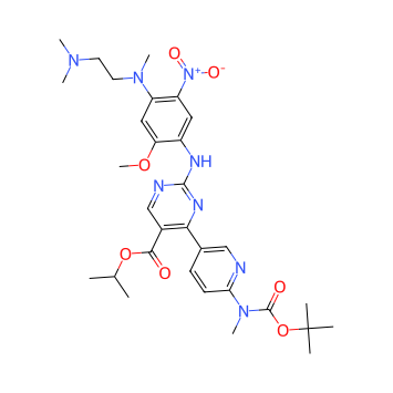 COc1cc(N(C)CCN(C)C)c([N+](=O)[O-])cc1Nc1ncc(C(=O)OC(C)C)c(-c2ccc(N(C)C(=O)OC(C)(C)C)nc2)n1